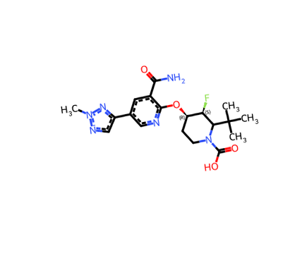 Cn1ncc(-c2cnc(O[C@@H]3CCN(C(=O)O)C(C(C)(C)C)[C@@H]3F)c(C(N)=O)c2)n1